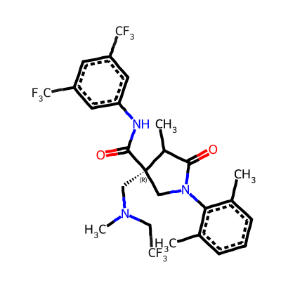 Cc1cccc(C)c1N1C[C@@](CN(C)CC(F)(F)F)(C(=O)Nc2cc(C(F)(F)F)cc(C(F)(F)F)c2)C(C)C1=O